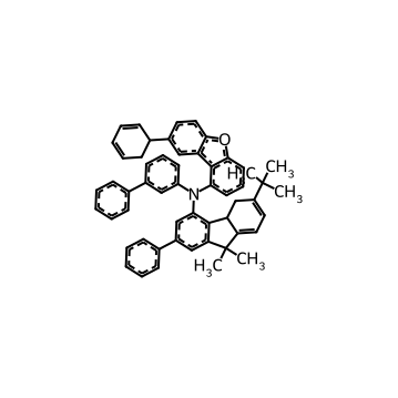 CC(C)(C)C1=CC=C2C(C1)c1c(N(c3cccc(-c4ccccc4)c3)c3cccc4oc5ccc(C6C=CC=CC6)cc5c34)cc(-c3ccccc3)cc1C2(C)C